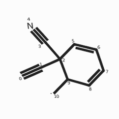 C#CC1(C#N)C=CC=CC1[CH2]